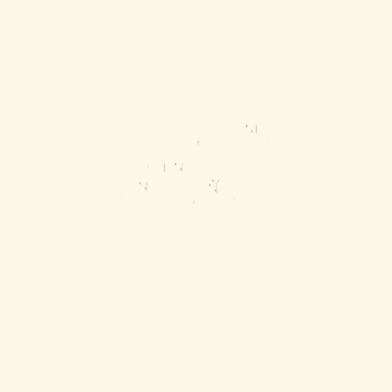 Cc1cc(Nc2c([N+](=O)[O-])cc(OC(=O)O)cc2[N+](=O)[O-])ccc1N